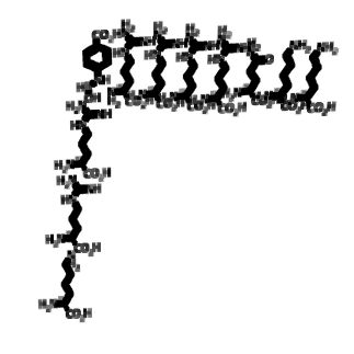 N=C(N)NCCC[C@H](N)C(=O)O.N=C(N)NCCC[C@H](N)C(=O)O.N=C(N)NCCC[C@H](N)C(=O)O.N=C(N)NCCC[C@H](N)C(=O)O.N=C(N)NCCC[C@H](N)C(=O)O.N=C(N)NCCC[C@H](N)C(=O)O.NC(=O)CC[C@H](N)C(=O)O.NCCCC[C@H](N)C(=O)O.NCCCC[C@H](N)C(=O)O.NCCCC[C@H](N)C(=O)O.O=C(O)c1ccc(NBO)cc1